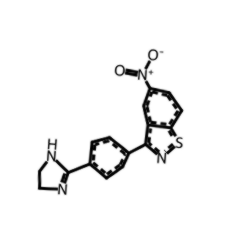 O=[N+]([O-])c1ccc2snc(-c3ccc(C4=NCCN4)cc3)c2c1